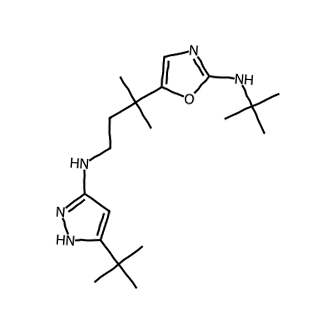 CC(C)(C)Nc1ncc(C(C)(C)CCNc2cc(C(C)(C)C)[nH]n2)o1